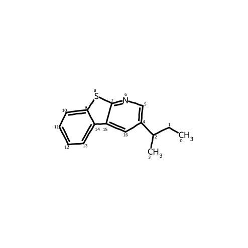 CCC(C)c1cnc2sc3ccccc3c2c1